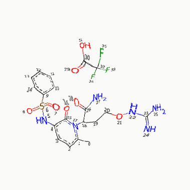 Cc1ccc(NS(=O)(=O)c2ccccc2)c(=O)n1C(CCONC(=N)N)C(N)=O.O=C(O)C(F)(F)F